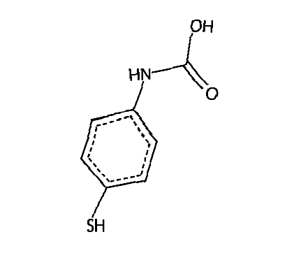 O=C(O)Nc1ccc(S)cc1